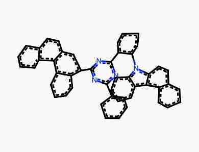 c1ccc(-c2nc(-c3ccccc3-n3c4ccccc4c4c5ccccc5ccc43)nc(-c3cc4ccc5ccccc5c4c4ccccc34)n2)cc1